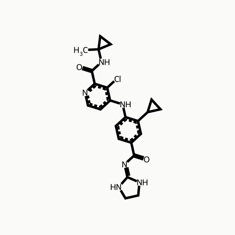 CC1(NC(=O)c2nccc(Nc3ccc(C(=O)N=C4NCCN4)cc3C3CC3)c2Cl)CC1